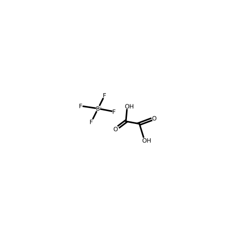 F[B-](F)(F)F.O=C(O)C(=O)O